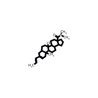 C/C=C/C1=CCC2(C)C(CCC3(C)C4CCC5(C(=O)N(C)C)CCCC5C4CCC23)C1